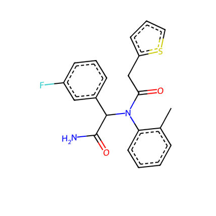 Cc1ccccc1N(C(=O)Cc1cccs1)C(C(N)=O)c1cccc(F)c1